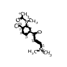 CC(=O)N(C)c1cc(C(=O)/C=C/N(C)C)ccc1Cl